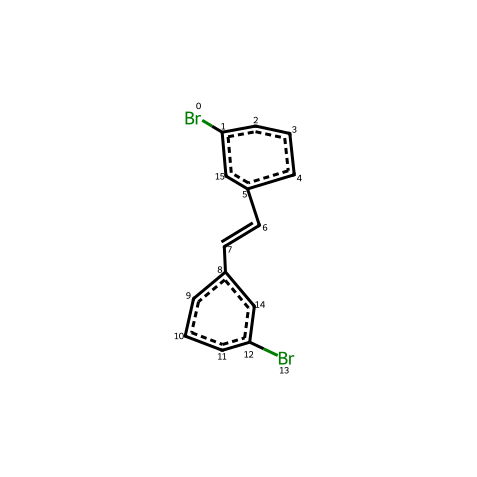 Brc1cccc(C=Cc2cccc(Br)c2)c1